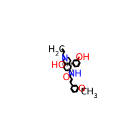 C=CCN1CC[C@@]2(c3cccc(O)c3)C[C@@H](NC(=O)C=Cc3cccc(OC)c3)CC[C@]2(O)C1